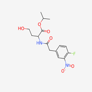 CC(C)OC(=O)C(CCO)NC(=O)Cc1ccc(F)c([N+](=O)[O-])c1